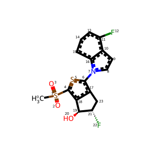 CS(=O)(=O)c1sc(-n2ccc3c(F)cccc32)c2c1[C@H](O)[C@@H](F)C2